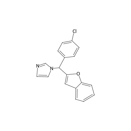 Clc1ccc(C(c2cc3ccccc3o2)n2ccnc2)cc1